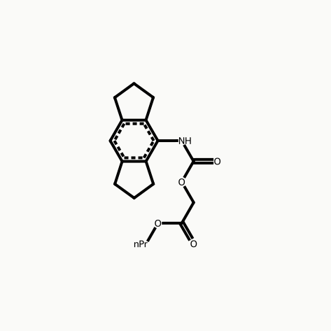 CCCOC(=O)COC(=O)Nc1c2c(cc3c1CCC3)CCC2